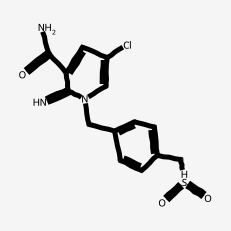 N=c1c(C(N)=O)cc(Cl)cn1Cc1ccc(C[SH](=O)=O)cc1